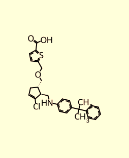 CC(C)(c1ccccc1)c1ccc(NC[C@H]2C(Cl)=CC[C@@H]2COCc2ccc(C(=O)O)s2)cc1